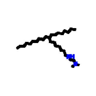 CCCCCCCCCCC(CCCCCCCC)CCCCCCCNCCN(C)C